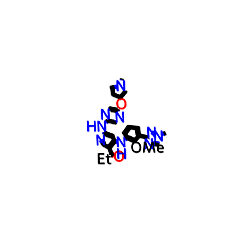 CCC(=O)c1cnc(Nc2cnc(O[C@@H]3CCN(C)C3)cn2)cc1Nc1cccc(-c2ncn(C)n2)c1OC